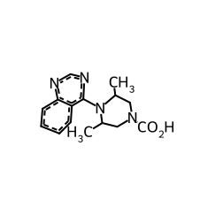 CC1CN(C(=O)O)CC(C)N1c1ncnc2ccccc12